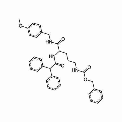 COc1ccc(CNC(=O)C(CCCNC(=O)OCc2ccccc2)NC(=O)C(c2ccccc2)c2ccccc2)cc1